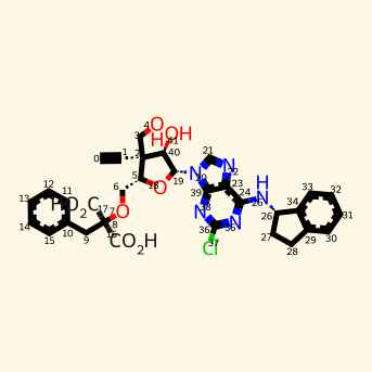 C#C[C@@]1(CO)[C@@H](COC(Cc2ccccc2)(C(=O)O)C(=O)O)O[C@@H](n2cnc3c(N[C@H]4CCc5ccccc54)nc(Cl)nc32)[C@@H]1O